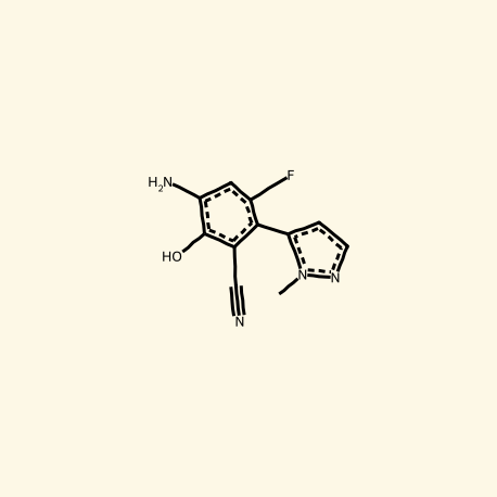 Cn1nccc1-c1c(F)cc(N)c(O)c1C#N